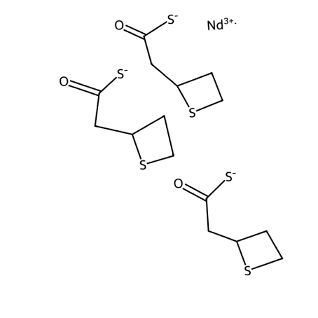 O=C([S-])CC1CCS1.O=C([S-])CC1CCS1.O=C([S-])CC1CCS1.[Nd+3]